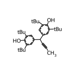 CC#CC(c1cc(C(C)(C)C)c(O)c(C(C)(C)C)c1)c1cc(C(C)(C)C)c(O)c(C(C)(C)C)c1